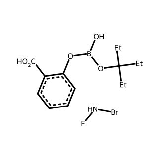 CCC(CC)(CC)OB(O)Oc1ccccc1C(=O)O.FNBr